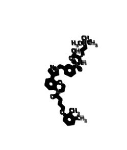 Cc1cccc(OCCCC(=O)N2CCOc3c(-c4cnn(Cc5cccc(S(=O)(=O)N[C@@H](CCC[N+](C)(C)C)C(=O)O)c5)c4)cccc32)c1C